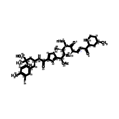 CCCCCCN(C(=O)C(/C=N/C(=O)C1C[C@H](C)CCN1)[C@@H](C)CC)[C@H](C[C@@H](OC(C)=O)c1nc(C(=O)N[C@@H](Cc2ccc(N)c(F)c2)CC(C)(C)C(=O)O)cs1)C(C)C